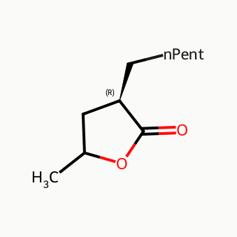 CCCCCC[C@@H]1CC(C)OC1=O